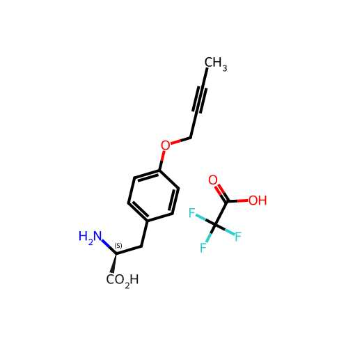 CC#CCOc1ccc(C[C@H](N)C(=O)O)cc1.O=C(O)C(F)(F)F